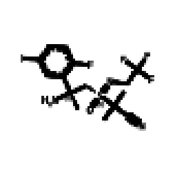 CC(C)(C#N)[S@](=O)(C[C@](C)(N)c1cc(I)ccc1F)=NCC(F)(F)F